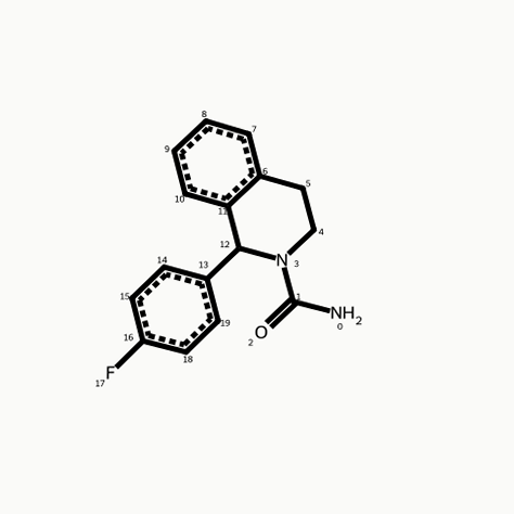 NC(=O)N1CCc2ccccc2C1c1ccc(F)cc1